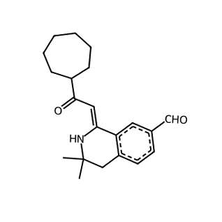 CC1(C)Cc2ccc(C=O)cc2/C(=C/C(=O)C2CCCCCC2)N1